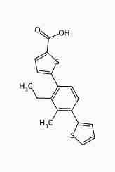 CCc1c(-c2ccc(C(=O)O)s2)ccc(-c2cccs2)c1C